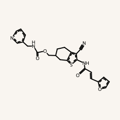 N#Cc1c(NC(=O)C=Cc2ccco2)sc2c1CCC(COC(=O)NCc1cccnc1)C2